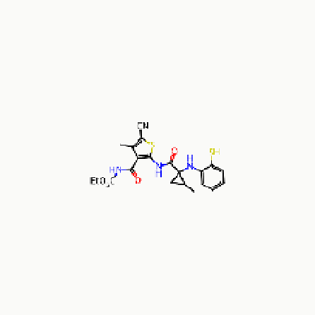 CCOC(=O)NC(=O)c1c(NC(=O)C2(Nc3ccccc3S)CC2C)sc(C#N)c1C